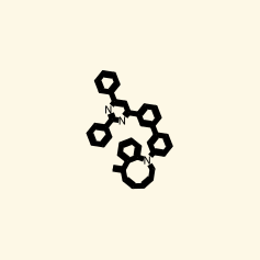 C=C1/C=C\C=C/CN(c2cccc(-c3cccc(-c4cc(-c5ccccc5)nc(-c5ccccc5)n4)c3)c2)c2ccccc21